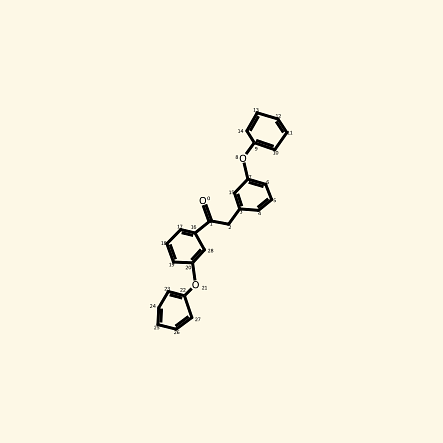 O=C(Cc1cccc(Oc2ccccc2)c1)c1cccc(Oc2ccccc2)c1